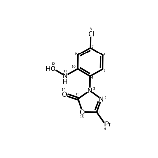 CC(C)c1nn(-c2ccc(Cl)cc2NO)c(=O)o1